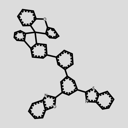 c1cc(-c2cc(-c3nc4ccccc4o3)cc(-c3nc4ccccc4s3)c2)cc(-c2ccc3c(c2)C2(c4ccccc4Oc4ccccc42)c2ccccc2-3)c1